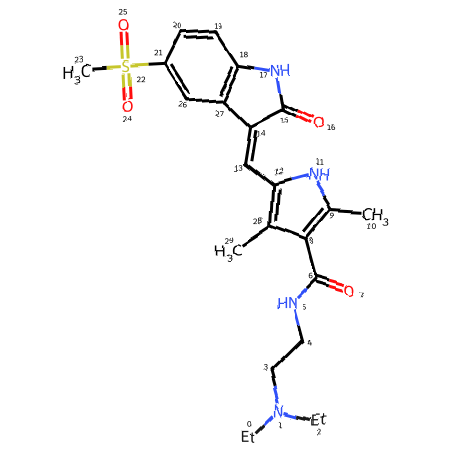 CCN(CC)CCNC(=O)c1c(C)[nH]c(/C=C2\C(=O)Nc3ccc(S(C)(=O)=O)cc32)c1C